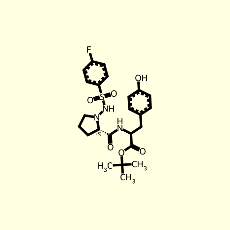 CC(C)(C)OC(=O)C(Cc1ccc(O)cc1)NC(=O)[C@@H]1CCCN1NS(=O)(=O)c1ccc(F)cc1